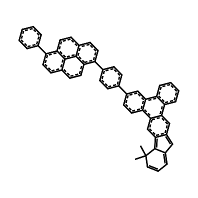 CC1(C)C=CC=C2C=c3cc4c5ccccc5c5cc(-c6ccc(-c7ccc8ccc9c(-c%10ccccc%10)ccc%10ccc7c8c%109)cc6)ccc5c4cc3=C21